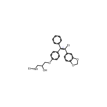 CCNCC(O)COc1ccc(/C(=C(/CC)c2ccc3c(c2)OCO3)c2ccccc2)cc1